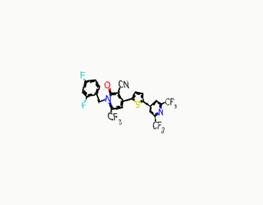 N#Cc1c(-c2ccc(-c3cc(C(F)(F)F)nc(C(F)(F)F)c3)s2)cc(C(F)(F)F)n(Cc2ccc(F)cc2F)c1=O